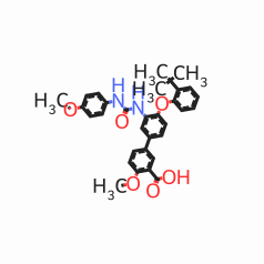 COc1ccc(NC(=O)Nc2cc(-c3ccc(OC)c(C(=O)O)c3)ccc2Oc2ccccc2C(C)(C)C)cc1